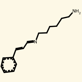 NCCCCCCN=C/C=C/c1ccccc1